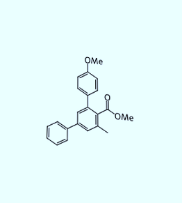 COC(=O)c1c(C)cc(-c2ccccc2)cc1-c1ccc(OC)cc1